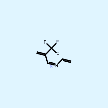 C=C/N=C\C(=C)C(F)(F)F